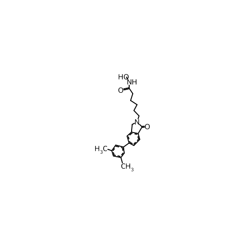 Cc1cc(C)cc(-c2ccc3c(c2)CN(CCCCCC(=O)NO)C3=O)c1